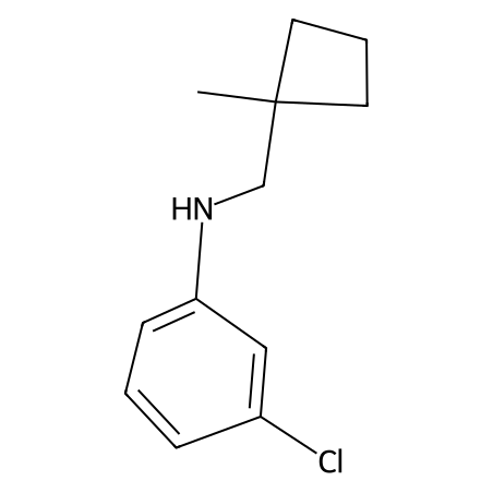 CC1(CNc2cccc(Cl)c2)CCC1